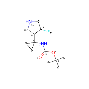 CC(C)(C)OC(=O)NC1(C2CNCC2F)CC1